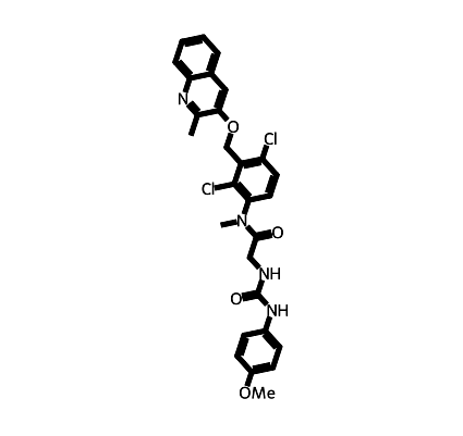 COc1ccc(NC(=O)NCC(=O)N(C)c2ccc(Cl)c(COc3cc4ccccc4nc3C)c2Cl)cc1